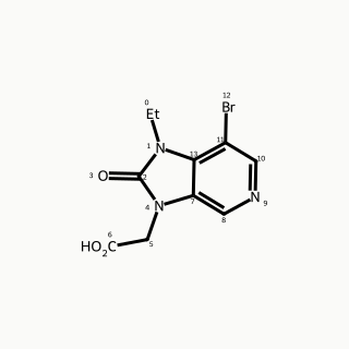 CCn1c(=O)n(CC(=O)O)c2cncc(Br)c21